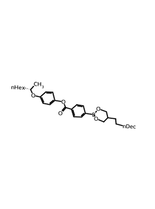 CCCCCCCCCCCCC1COB(c2ccc(C(=O)Oc3ccc(O[C@@H](C)CCCCCC)cc3)cc2)OC1